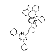 C1=CCCC(C2=NC(c3ccc4sc5ccc(-c6cccc7sc8cccc(-n9c%10ccccc%10c%10ccccc%109)c8c67)cc5c4c3)=NC(c3ccccc3)N2)=C1